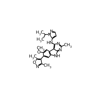 COc1cc2c(cc1-c1c(C)noc1C)[nH]c1nc(C)nc(Nc3ccnn3C(C)C)c12